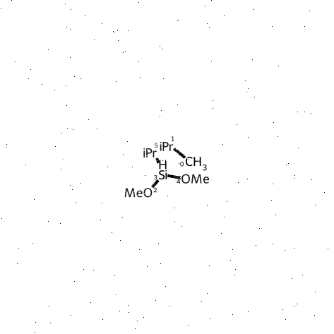 CC(C)C.CO[SiH](OC)C(C)C